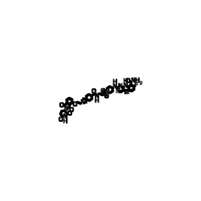 NC(=O)c1c(F)cccc1Nc1nc(NC2CCN(S(=O)(=O)CCNC(=O)C3CCC4(CC3)CN(CCOc3cccc5c3C(=O)N(C3CCC(=O)NC3=O)C5=O)C4)CC2)ncc1Br